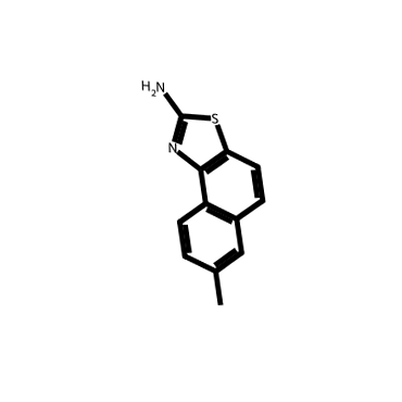 Cc1ccc2c(ccc3sc(N)nc32)c1